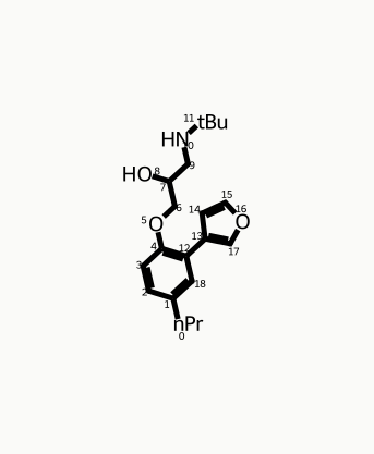 CCCc1ccc(OCC(O)CNC(C)(C)C)c(-c2ccoc2)c1